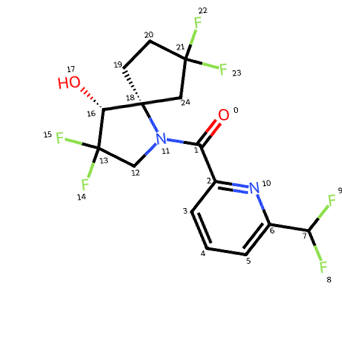 O=C(c1cccc(C(F)F)n1)N1CC(F)(F)[C@H](O)[C@]12CCC(F)(F)C2